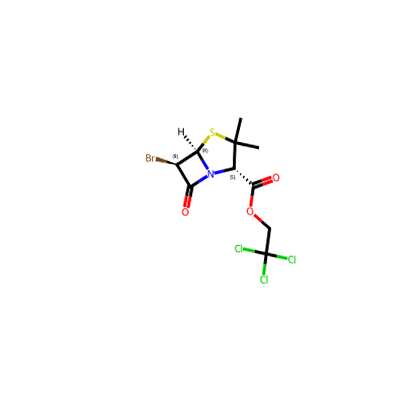 CC1(C)S[C@@H]2[C@H](Br)C(=O)N2[C@H]1C(=O)OCC(Cl)(Cl)Cl